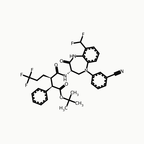 CC(C)(C)OC(=O)[C@@H](c1ccccc1)[C@@H](CCC(F)(F)F)C(=O)N[C@H]1CN(c2cccc(C#N)c2)c2cccc(C(F)F)c2NC1=O